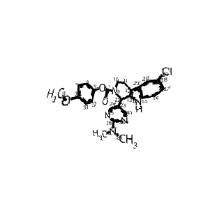 COc1ccc(OC(=O)N2CCc3c([nH]c4ccc(Cl)cc34)C2c2cnc(N(C)C)nc2)cc1